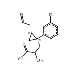 CN(C[C@]1(c2cccc(Cl)c2)C[C@@H]1CC=O)C(=O)O